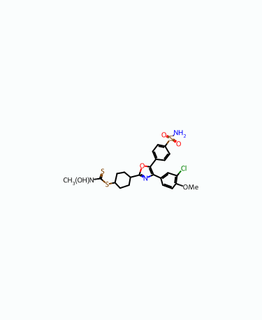 COc1ccc(-c2nc(C3CCC(SC(=S)N(C)O)CC3)oc2-c2ccc(S(N)(=O)=O)cc2)cc1Cl